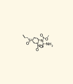 C=CC[S+]([O-])c1ccc(N(C(=O)OC)C(N)=S)c([N+](=O)[O-])c1